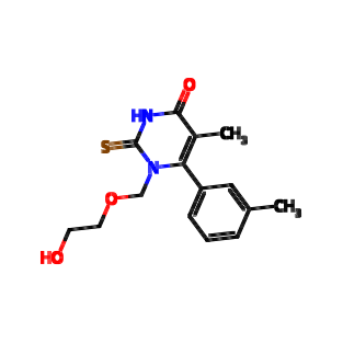 Cc1cccc(-c2c(C)c(=O)[nH]c(=S)n2COCCO)c1